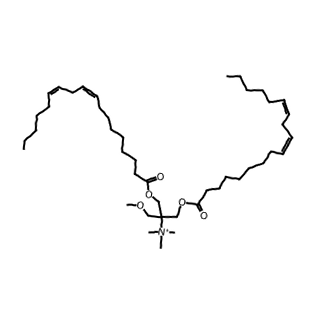 CCCCC/C=C\C/C=C\CCCCCCCC(=O)OCC(COC)(COC(=O)CCCCCCC/C=C\C/C=C\CCCCC)[N+](C)(C)C